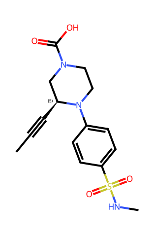 CC#C[C@H]1CN(C(=O)O)CCN1c1ccc(S(=O)(=O)NC)cc1